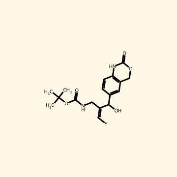 CC(C)(C)OC(=O)NC/C(=C/F)C(O)c1ccc2c(c1)COC(=O)N2